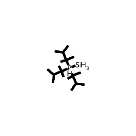 CC(C)C(C)(C)[PH]([SiH3])(C(C)(C)C(C)C)C(C)(C)C(C)C